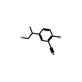 C[C](CF)c1ccc(Br)c(C#N)c1